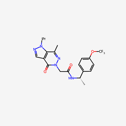 Cc1nn(CC(=O)N[C@@H](C)c2ccc(OC(F)(F)F)cc2)c(=O)c2cnn(C(C)C)c12